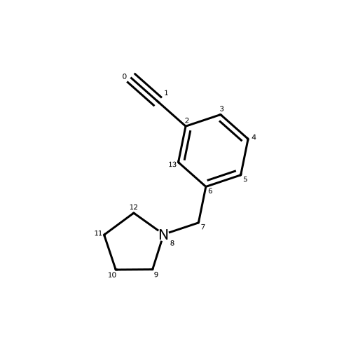 C#Cc1cccc(CN2CCCC2)c1